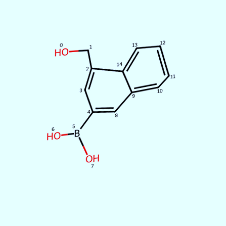 OCc1cc(B(O)O)cc2ccccc12